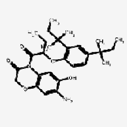 CCC(Oc1ccc(C(C)(C)CC)cc1C(C)(C)CC)C(=O)N1C(=O)COc2cc(N)c(O)cc21